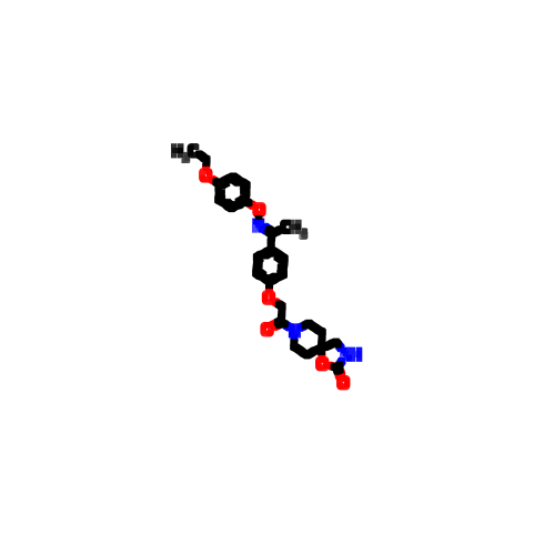 CCOc1ccc(ON=C(C)c2ccc(OCC(=O)N3CCC4(CC3)CNC(=O)O4)cc2)cc1